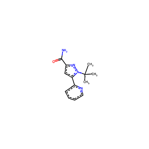 CC(C)(C)n1nc(C(N)=O)cc1-c1ccccn1